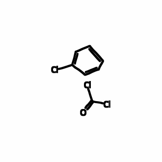 Clc1ccccc1.O=C(Cl)Cl